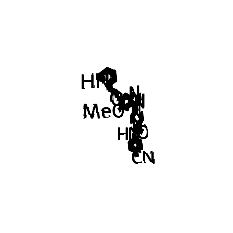 COc1cc2c(N3CCN(C(=O)Nc4ccc(C#N)cc4)CC3)ncnc2cc1OCCC1CCCCN1